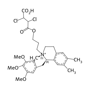 COc1cc(C[C@@H]2c3cc(C)c(C)cc3CC[N@@+]2(C)CCCOC(=O)C(Cl)C(Cl)C(=O)O)cc(OC)c1OC